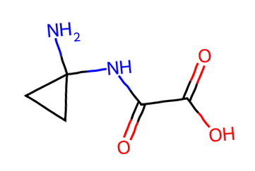 NC1(NC(=O)C(=O)O)CC1